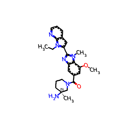 CCn1c(-c2nc3cc(C(=O)N4CCC[C@](C)(N)C4)cc(OC)c3n2C)cc2cccnc21